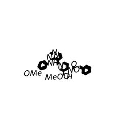 COC(=O)[C@H]1CN(Cc2ccn3ncnc(Nc4cccc(OC)c4)c23)CC[C@@H]1NC(=O)OCc1ccccc1